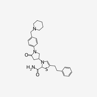 NC(=O)C1SC(CCc2ccccc2)=CN1C1CC(=O)N(c2ccc(CN3CCCCC3)cc2)C1